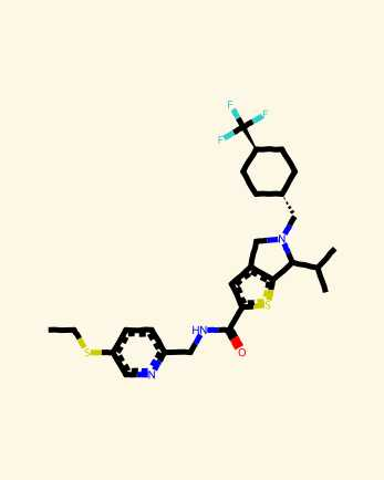 CCSc1ccc(CNC(=O)c2cc3c(s2)C(C(C)C)N(C[C@H]2CC[C@H](C(F)(F)F)CC2)C3)nc1